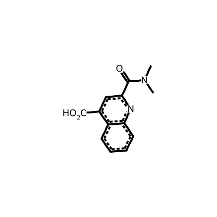 CN(C)C(=O)c1cc(C(=O)O)c2ccccc2n1